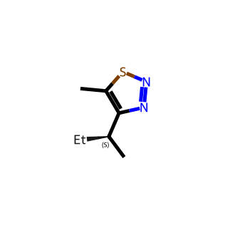 CC[C@H](C)c1nnsc1C